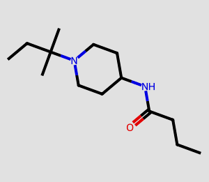 CCCC(=O)NC1CCN(C(C)(C)CC)CC1